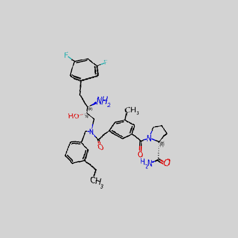 CCc1cccc(CN(C[C@H](O)[C@H](N)Cc2cc(F)cc(F)c2)C(=O)c2cc(C)cc(C(=O)N3CCC[C@@H]3C(N)=O)c2)c1